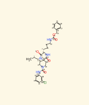 CCCN1C(=O)[C@H](CCCCNC(=O)OCc2ccccc2)NC(=O)C12CCN(C(=O)Nc1cccc(Cl)c1)CC2